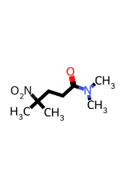 CN(C)C(=O)CCC(C)(C)[N+](=O)[O-]